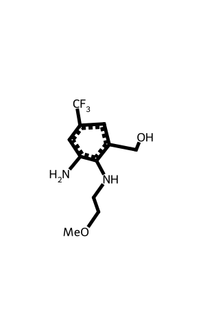 COCCNc1c(N)cc(C(F)(F)F)cc1CO